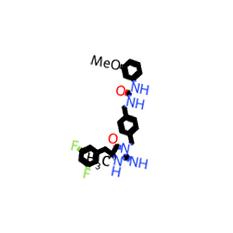 COc1cccc(NC(=O)NCc2ccc(CN3C(=N)N[C@](C)(Cc4cc(F)cc(F)c4)C3=O)cc2)c1